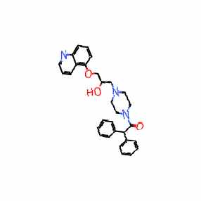 O=C(C(c1ccccc1)c1ccccc1)N1CCN(CC(O)COc2cccc3ncccc23)CC1